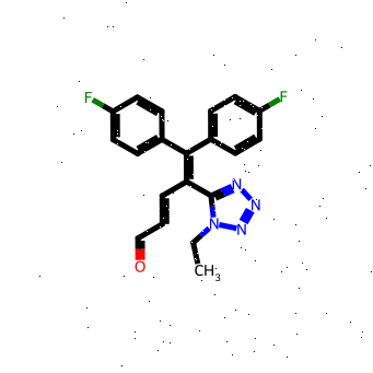 CCn1nnnc1C(C=CC=O)=C(c1ccc(F)cc1)c1ccc(F)cc1